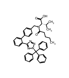 CCCCC(=O)N(Cc1ccc(-c2ccccc2-c2nnn(C(c3ccccc3)(c3ccccc3)c3ccccc3)n2)cc1)[C@H](C(=O)O)C(C)C